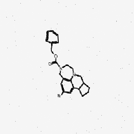 O=C(OCc1ccccc1)N1CCN2CC3CCCC3c3cc(Br)cc(c32)C1